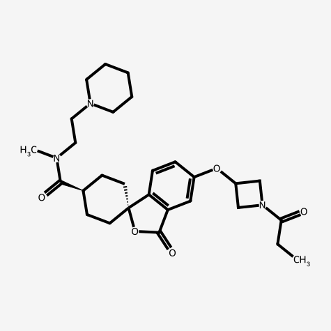 CCC(=O)N1CC(Oc2ccc3c(c2)C(=O)O[C@]32CC[C@H](C(=O)N(C)CCN3CCCCC3)CC2)C1